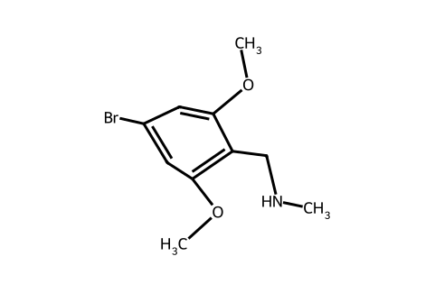 CNCc1c(OC)cc(Br)cc1OC